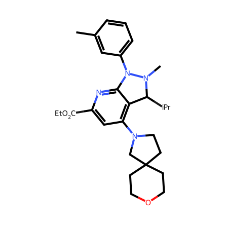 CCOC(=O)c1cc(N2CCC3(CCOCC3)C2)c2c(n1)N(c1cccc(C)c1)N(C)C2C(C)C